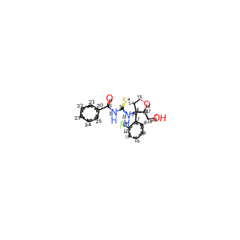 O=C(NC(=S)N[C@@]1(c2ccccc2F)CCO[C@H]1CO)c1ccccc1